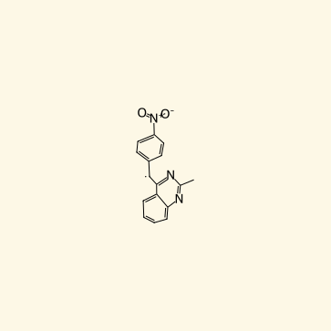 Cc1nc([CH]c2ccc([N+](=O)[O-])cc2)c2ccccc2n1